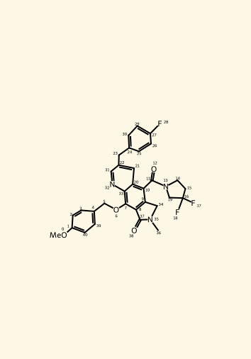 COc1ccc(COc2c3c(c(C(=O)N4CCC(F)(F)C4)c4cc(Cc5ccc(F)cc5)cnc24)CN(C)C3=O)cc1